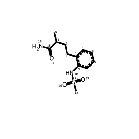 CC(CCc1ccccc1NS(C)(=O)=O)C(N)=O